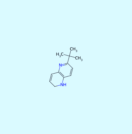 CC(C)(C)c1ccc2c(n1)C=CCN2